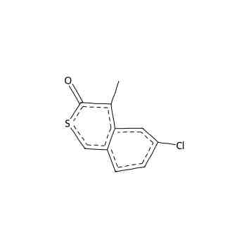 Cc1c(=O)scc2ccc(Cl)cc12